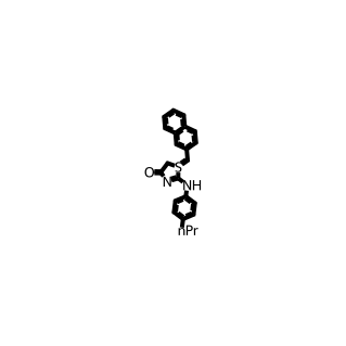 CCCc1ccc(NC2=NC(=O)CS2=Cc2ccc3ccccc3c2)cc1